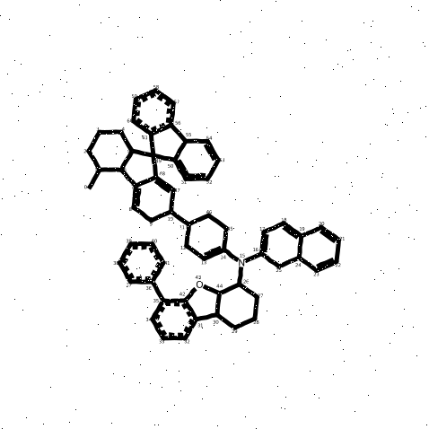 CC1CCCC2C1C1=CCC(C3CC=C(N(C4=CC=C5C=CC=CC5C4)C4CCCC5c6cccc(-c7ccccc7)c6OC54)CC3)C=C1C21C2=C=CC=CC2c2ccccc21